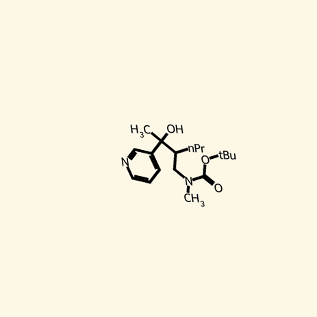 CCCC(CN(C)C(=O)OC(C)(C)C)C(C)(O)c1cccnc1